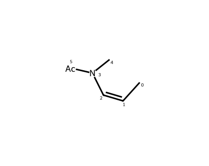 C/C=C\N(C)C(C)=O